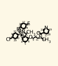 CC(c1ccccc1OCCCN(C)C(=O)c1cccnc1)N(c1cc(F)ccc1F)S(=O)(=O)c1ccc(Cl)cc1